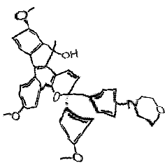 COc1ccc([C@@]2(c3ccc(N4CCOCC4)cc3)C=Cc3c4c(c5ccc(OC)cc5c3O2)-c2ccc(OC)cc2C4(C)O)cc1